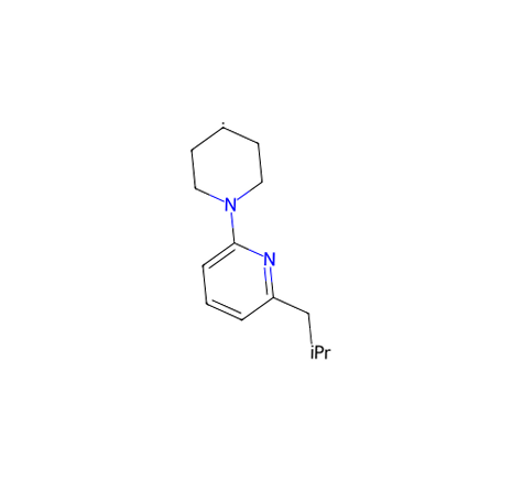 CC(C)Cc1cccc(N2CC[CH]CC2)n1